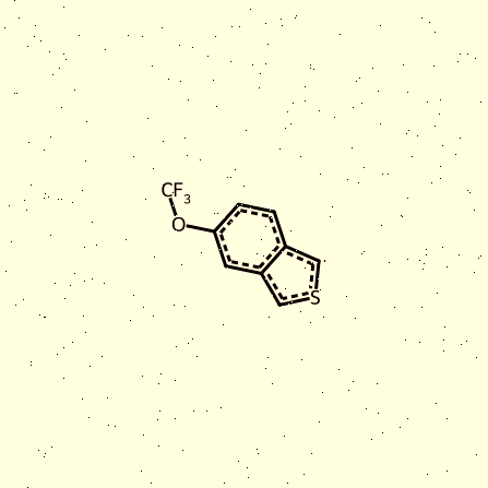 FC(F)(F)Oc1ccc2[c]scc2c1